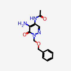 CC(=O)Nc1cnn(COCc2ccccc2)c(=O)c1N